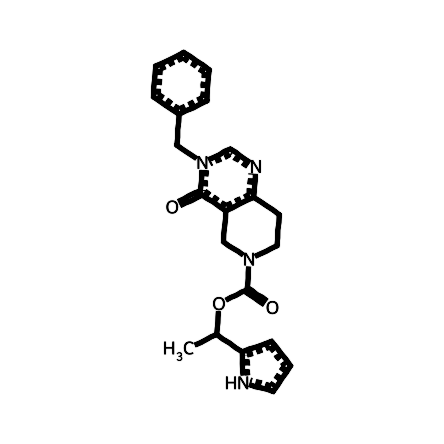 CC(OC(=O)N1CCc2ncn(Cc3ccccc3)c(=O)c2C1)c1ccc[nH]1